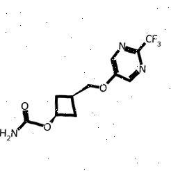 NC(=O)O[C@H]1C[C@@H](COc2cnc(C(F)(F)F)nc2)C1